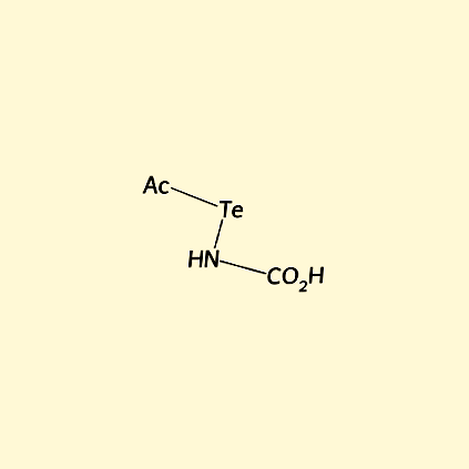 CC(=O)[Te]NC(=O)O